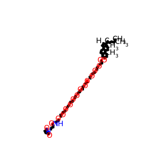 CC(C)CCCC(C)C1CCC2C3CC=C4CC(OC(=O)CCOCCOCCOCCOCCOCCOCCOCCOCCOCCOCCOCCOCCNC(=O)CCCN5C(=O)C=CC5=O)CCC4(C)C3CCC12C